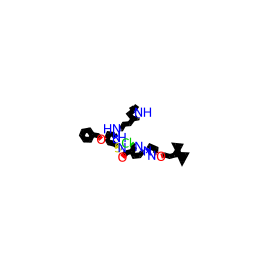 CC1(C)CC(CCCNc2cc(OCc3ccccc3)cc(SNC(=O)c3ccc(-n4ccc(OCCC5C6(CC6)C56CC6)n4)nc3Cl)n2)CN1